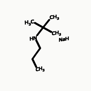 CCCNC(C)(C)C.[NaH]